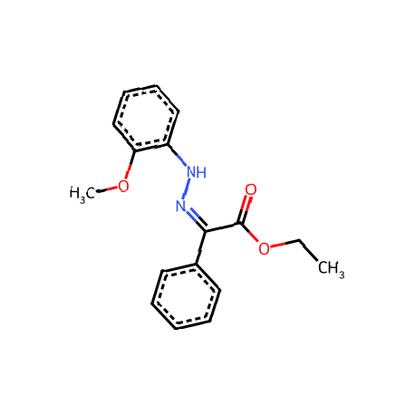 CCOC(=O)/C(=N\Nc1ccccc1OC)c1ccccc1